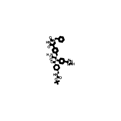 CC(C)(C)OC(=O)NC[C@H]1CC[C@H](C(=O)N(c2ccc(-c3nn[nH]n3)cc2)[C@@H](Cc2ccc(-c3cn(Cc4ccccc4)c(=O)[nH]c3=O)cc2)C(N)=O)CC1